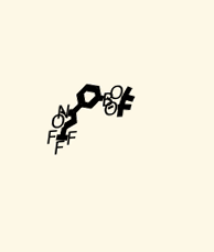 CC1(C)OB(c2cccc(-c3cc(C(F)(F)F)on3)c2)OC1(C)C